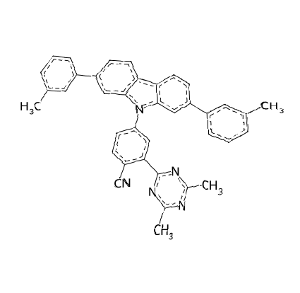 Cc1cccc(-c2ccc3c4ccc(-c5cccc(C)c5)cc4n(-c4ccc(C#N)c(-c5nc(C)nc(C)n5)c4)c3c2)c1